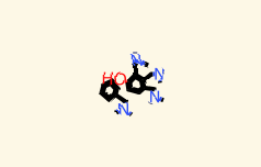 CN(C)Cc1ccc(O)c(CN(C)C)c1CN(C)C.CN(C)Cc1ccccc1